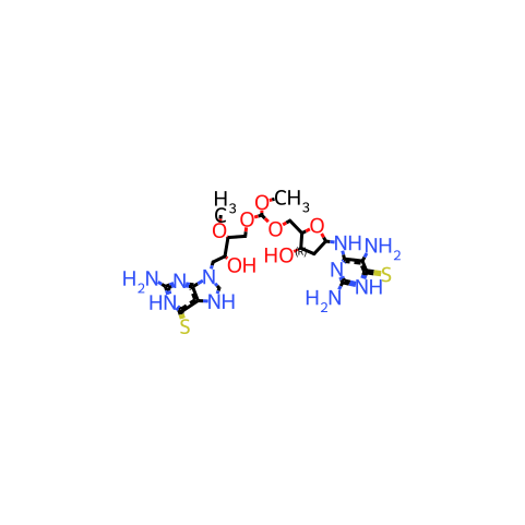 COC(OCC(OC)C(O)CN1CNc2c1nc(N)[nH]c2=S)OCC1OC(Nc2nc(N)[nH]c(=S)c2N)C[C@H]1O